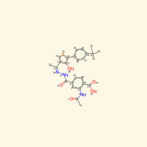 CC(=O)Nc1cc(C(=O)NN=C(C)c2csc(-c3ccc(C(C)(C)C)cc3)c2O)ccc1C(=O)O